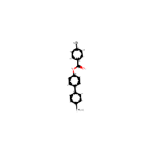 CCCCCc1ccc(-c2ccc(OC(=O)c3ccc(CC)cc3)cc2)cc1